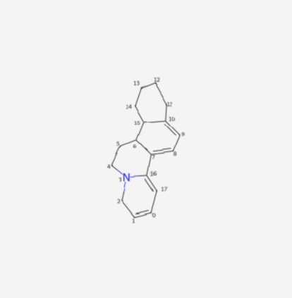 C1=CCN2CCC3C(=CC=C4CCCCC43)C2=C1